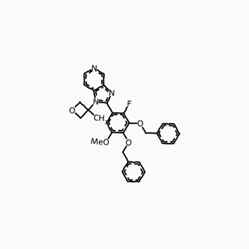 COc1cc(-c2nc3cnccc3n2C2(C)COC2)c(F)c(OCc2ccccc2)c1OCc1ccccc1